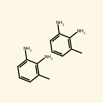 Cc1cccc(N)c1N.Cc1cccc(N)c1N